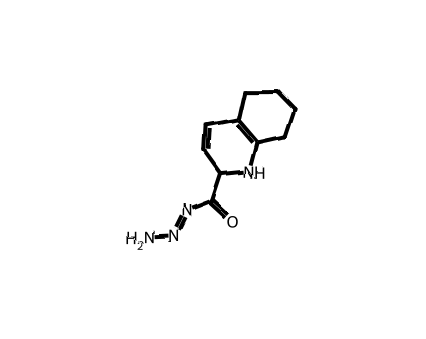 NN=NC(=O)C1C=CC2=C(CCCC2)N1